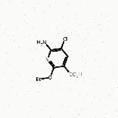 CCOc1nc(N)c(Cl)cc1C(=O)O